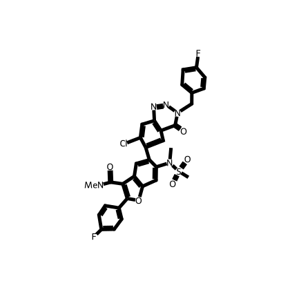 CNC(=O)c1c(-c2ccc(F)cc2)oc2cc(N(C)S(C)(=O)=O)c(-c3cc4c(=O)n(Cc5ccc(F)cc5)nnc4cc3Cl)cc12